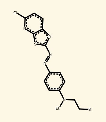 CCN(CCBr)c1ccc(N=Nc2nc3ccc(Cl)nc3s2)cc1